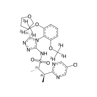 [2H]C([2H])([2H])Oc1cccc(OC([2H])([2H])[2H])c1-n1c(NS(=O)(=O)[C@@H](C)[C@H](C)c2ncc(Cl)cn2)nnc1[C@@H]1CCOC1